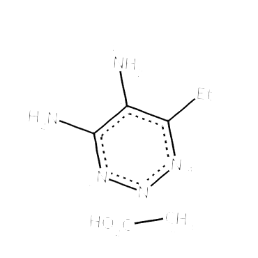 CC(=O)O.CCc1nnnc(N)c1N